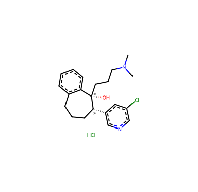 CN(C)CCC[C@]1(O)c2ccccc2CCC[C@H]1c1cncc(Cl)c1.Cl